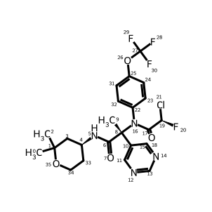 CC1(C)C[C@@H](NC(=O)[C@@](C)(c2cncnc2)N(C(=O)[C@H](F)Cl)c2ccc(OC(F)(F)F)cc2)CCO1